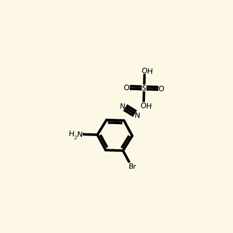 N#N.Nc1cccc(Br)c1.O=S(=O)(O)O